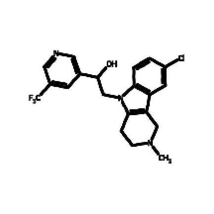 CN1CCc2c(c3cc(Cl)ccc3n2CC(O)c2cncc(C(F)(F)F)c2)C1